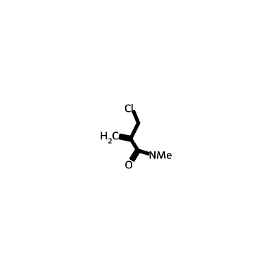 C=C(CCl)C(=O)NC